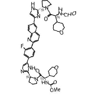 COC(=O)N[C@H](C(=O)N1CCC[C@H]1c1ncc(-c2ccc(-c3ccc4cc(-c5c[nH]c([C@@H]6CCCN6C(=O)[C@@H](NC=O)C6CCOCC6)n5)ccc4n3)c(F)c2)[nH]1)C1CCOCC1